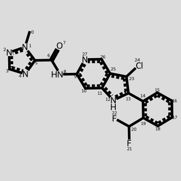 Cn1ncnc1C(=O)Nc1cc2[nH]c(-c3ccccc3C(F)F)c(Cl)c2cn1